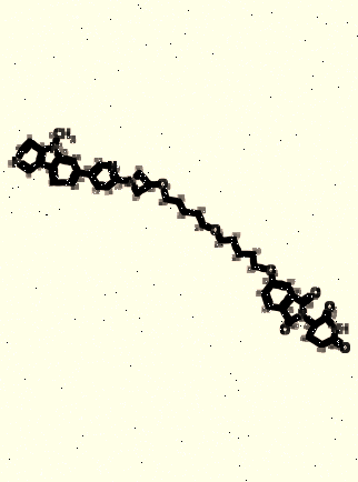 Cn1c2ccncc2c2ccc(-c3ccc(N4CC(OCCCCCOCCCCCOc5ccc6c(c5)C(=O)N(C5CCC(=O)NC5=O)C6=O)C4)nc3)cc21